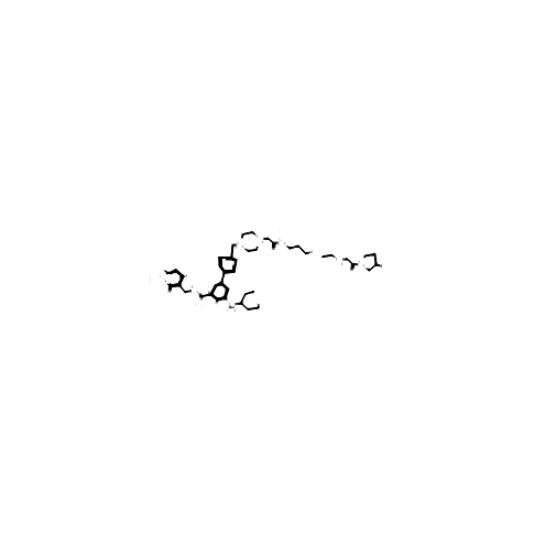 CCN(c1cc(-c2ccc(CN3CCN(CC(=O)NCCCOCCNCC(=O)N4CCC(O)C4)CC3)cc2)cc(C(=O)NCc2c(C)cc(C)[nH]c2=O)c1C)C1CCOCC1